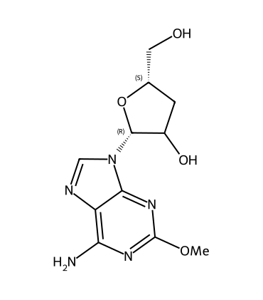 COc1nc(N)c2ncn([C@@H]3O[C@H](CO)CC3O)c2n1